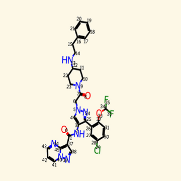 O=C(Nc1cn(CC(=O)N2CCC(NCCc3ccccc3)CC2)nc1-c1cc(Cl)ccc1OC(F)F)c1cnn2cccnc12